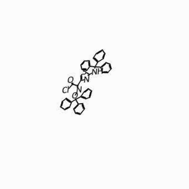 O=C(Cl)/C(=N\OC(c1ccccc1)(c1ccccc1)c1ccccc1)c1csc(NC(c2ccccc2)(c2ccccc2)c2ccccc2)n1